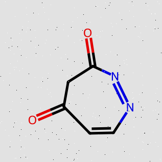 O=C1C=CN=NC(=O)C1